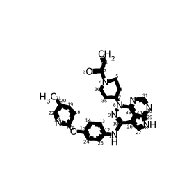 C=CC(=O)N1CCC(N2N=C(Nc3ccc(Oc4ccc(C)cn4)cc3)c3c[nH]c4ncnc2c34)CC1